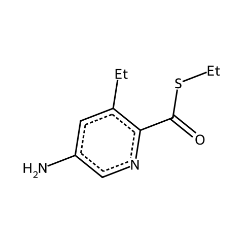 CCSC(=O)c1ncc(N)cc1CC